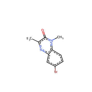 Cn1c(=O)c(C(F)(F)F)nc2cc(Br)ccc21